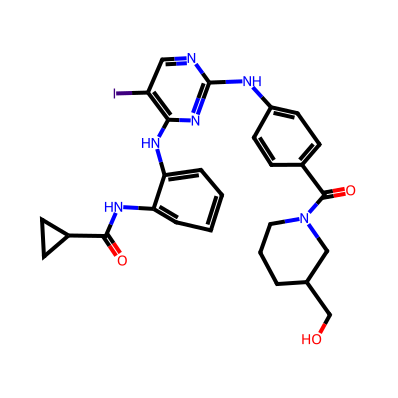 O=C(Nc1ccccc1Nc1nc(Nc2ccc(C(=O)N3CCCC(CO)C3)cc2)ncc1I)C1CC1